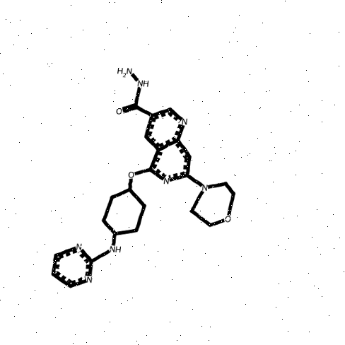 NNC(=O)c1cnc2cc(N3CCOCC3)nc(OC3CCC(Nc4ncccn4)CC3)c2c1